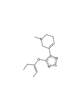 CC=C(CC)Oc1nsnc1C1=CCCN(C)C1